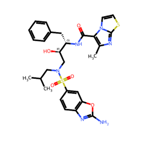 Cc1nc2sccn2c1C(=O)N[C@@H](Cc1ccccc1)[C@H](O)CN(CC(C)C)S(=O)(=O)c1ccc2nc(N)oc2c1